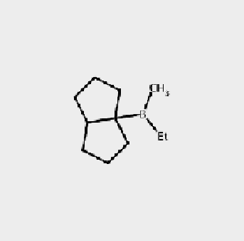 CCB(C)C12CCCC1CCC2